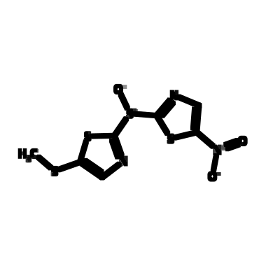 CSc1cnc([S+]([O-])c2ncc([N+](=O)[O-])s2)s1